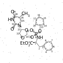 CCOC(=O)[C@H](Cc1ccccc1)NP(=O)(Oc1ccccc1)O[C@@H]1OC[C@H](n2cc(C)c(=O)[nH]c2=O)O1